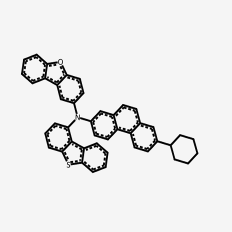 c1ccc2c(c1)oc1ccc(N(c3ccc4c(ccc5cc(C6CCCCC6)ccc54)c3)c3cccc4sc5ccccc5c34)cc12